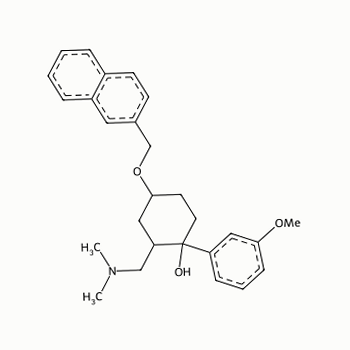 COc1cccc(C2(O)CCC(OCc3ccc4ccccc4c3)CC2CN(C)C)c1